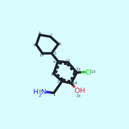 NCc1cc(C2CCCCC2)cc(Cl)c1O